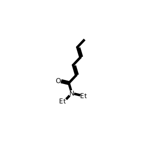 CC=CC=CC(=O)N(CC)CC